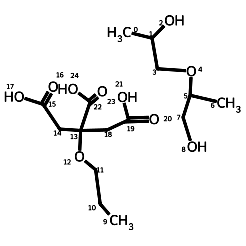 CC(O)COC(C)CO.CCCOC(CC(=O)O)(CC(=O)O)C(=O)O